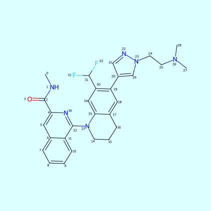 CNC(=O)c1cc2ccccc2c(N2CCCc3cc(-c4cnn(CCN(C)C)c4)c(C(F)F)cc32)n1